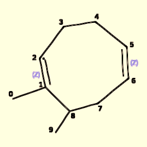 C/C1=[C]/CC/C=C\CC1C